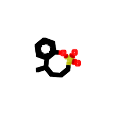 CC1CCCS(=O)(=O)Oc2ccccc21